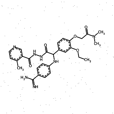 CCOc1cc(C(Nc2ccc(C(=N)N)cc2)C(=O)NNC(=O)c2cnccc2C)ccc1OCC(=O)N(C)C